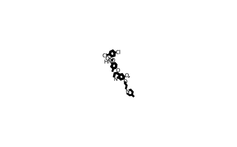 COc1cc2c(Oc3ccc(NS(=O)(=O)c4cc(Cl)ccc4Cl)cc3C)ccnc2cc1OCCCN1CCC(C)CC1